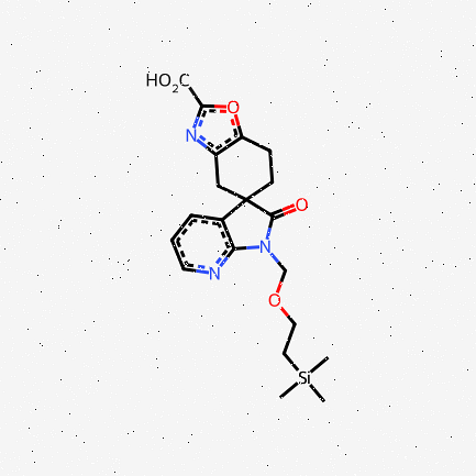 C[Si](C)(C)CCOCN1C(=O)C2(CCc3oc(C(=O)O)nc3C2)c2cccnc21